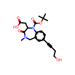 CN1Cc2cc(C#CCCO)ccc2N(C(=O)OC(C)(C)C)C(CC(=O)O)C1=O